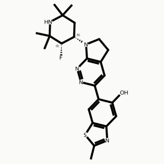 Cc1nc2cc(O)c(-c3cc4c(nn3)N([C@H]3CC(C)(C)NC(C)(C)[C@H]3F)CC4)cc2s1